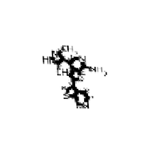 Cc1n[nH]c(C)c1-c1cnc(N)c2oc(-c3csc4cnccc34)cc12